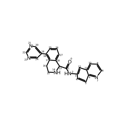 O=C(Nc1ccc2ncccc2c1)C1NCCc2c(-c3cncnc3)cccc21